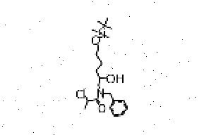 CC(Cl)C(=O)N(Cc1ccccc1)CC(O)CCCCO[Si](C)(C)C(C)(C)C